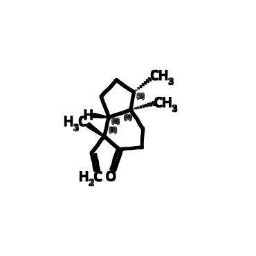 C=C[C@@]1(C)C(=O)CC[C@@]2(C)[C@H]1CC[C@@H]2C